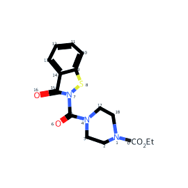 CCOC(=O)N1CCN(C(=O)n2sc3ccccc3c2=O)CC1